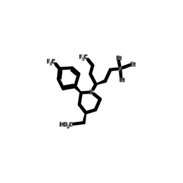 CC[Si](CC)(CC)CC[C@H](CCC(F)(F)F)N1CC[C@@H](CC(=O)O)C[C@H]1c1ccc(C(F)(F)F)cc1